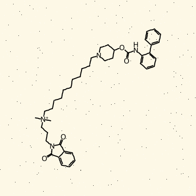 C[N+](C)(CCCCCCCCCCCN1CCC(OC(=O)Nc2ccccc2-c2ccccc2)CC1)CCCN1C(=O)c2ccccc2C1=O